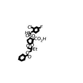 CC[C@]1(COC(=O)c2ccccc2)COC2(C=C(C(=O)O)C(S(=O)(=O)Nc3ccc(F)cc3Cl)CC2)O1